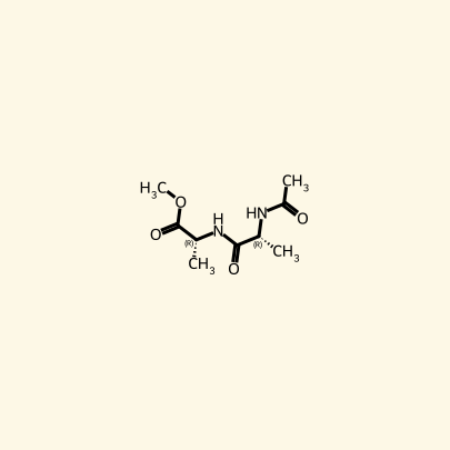 COC(=O)[C@@H](C)NC(=O)[C@@H](C)NC(C)=O